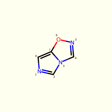 c1ncn2cnoc12